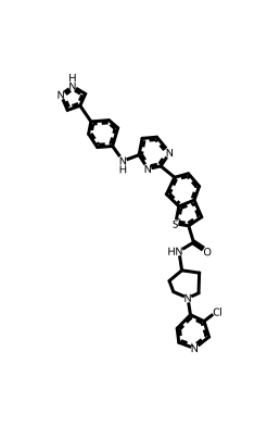 O=C(NC1CCN(c2ccncc2Cl)CC1)c1cc2ccc(-c3nccc(Nc4ccc(-c5cn[nH]c5)cc4)n3)cc2s1